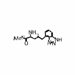 CNC(=O)[C@@H](N)CCCc1cccc2[nH]nnc12